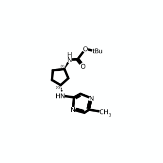 Cc1cnc(N[C@@H]2CC[C@@H](NC(=O)OC(C)(C)C)C2)cn1